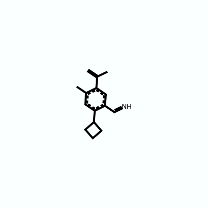 C=C(C)c1cc(C=N)c(C2CCC2)cc1C